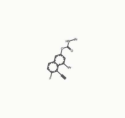 C#Cc1c(F)ccc2cc(OC(=O)NC(C)C)cc(C(C)C)c12